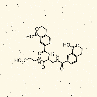 O=C(O)CCNC(=O)[C@H](CNC(=O)c1ccc2c(c1)B(O)OCC2)NC(=O)c1ccc2c(c1)B(O)OCC2